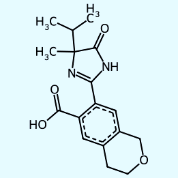 CC(C)C1(C)N=C(c2cc3c(cc2C(=O)O)CCOC3)NC1=O